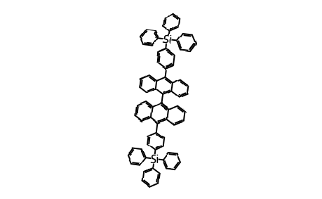 c1ccc([Si](c2ccccc2)(c2ccccc2)c2ccc(-c3c4ccccc4c(-c4c5ccccc5c(-c5ccc([Si](c6ccccc6)(c6ccccc6)c6ccccc6)cc5)c5ccccc45)c4ccccc34)cc2)cc1